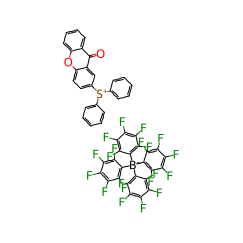 Fc1c(F)c(F)c([B-](c2c(F)c(F)c(F)c(F)c2F)(c2c(F)c(F)c(F)c(F)c2F)c2c(F)c(F)c(F)c(F)c2F)c(F)c1F.O=c1c2ccccc2oc2ccc([S+](c3ccccc3)c3ccccc3)cc12